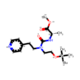 C[C@H](NC(=O)N(CCO[Si](C)(C)C(C)(C)C)CCc1ccncc1)C(=O)OC(C)(C)C